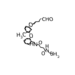 BCNC(=O)CCC(=O)NCc1ccccc1Oc1cc(OCCCCC=O)ccc1C